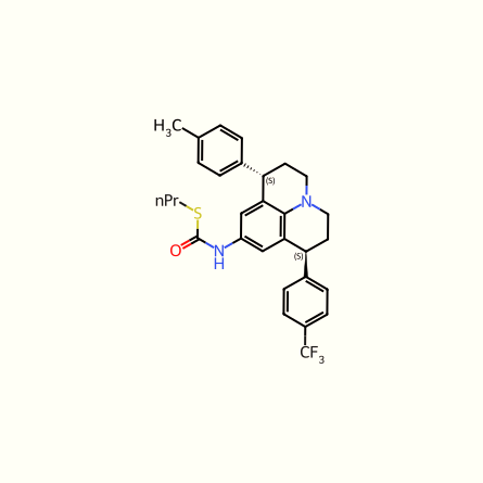 CCCSC(=O)Nc1cc2c3c(c1)[C@H](c1ccc(C(F)(F)F)cc1)CCN3CC[C@H]2c1ccc(C)cc1